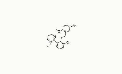 CCN1CCCN=C1c1cccc(Cl)c1CCc1cc(Br)ccc1OC